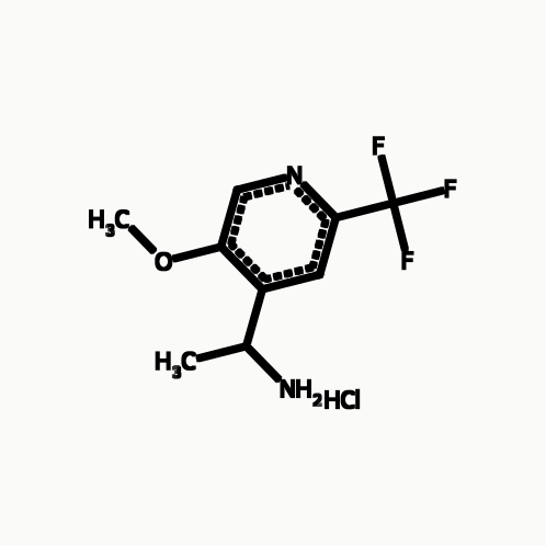 COc1cnc(C(F)(F)F)cc1C(C)N.Cl